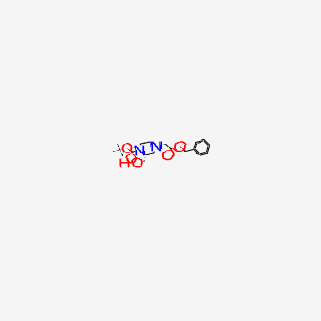 CC(C)(C)OC(=O)N1CCN(CC(=O)OCc2ccccc2)C[C@@H]1CO